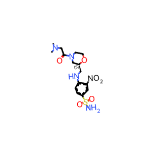 CN(C)CC(=O)N1CCO[C@@H](CNc2ccc(S(N)(=O)=O)cc2[N+](=O)[O-])C1